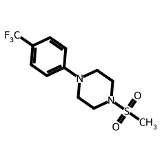 CS(=O)(=O)N1CCN(c2ccc(C(F)(F)F)cc2)CC1